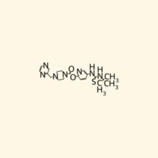 CC(C)(C)NC(=S)Nc1ccc(OC(=O)N2CCN(Cc3cnccn3)CC2)nc1